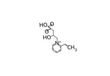 C=Cc1cccc[n+]1CC(O)CS(=O)(=O)O